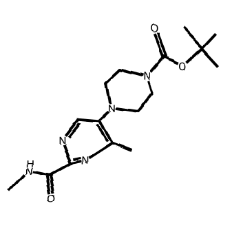 CNC(=O)c1ncc(N2CCN(C(=O)OC(C)(C)C)CC2)c(C)n1